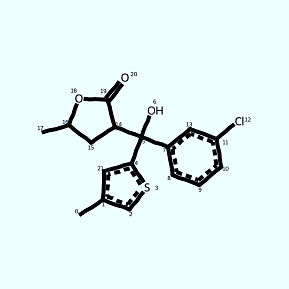 Cc1csc(C(O)(c2cccc(Cl)c2)C2CC(C)OC2=O)c1